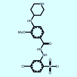 CCS(=O)(=O)c1ccc(Cl)cc1NNC(=O)c1ccc(NC2CCNCC2)c(OC)c1